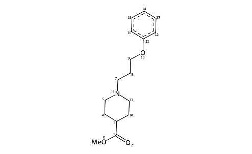 COC(=O)C1CCN(CCCOc2ccccc2)CC1